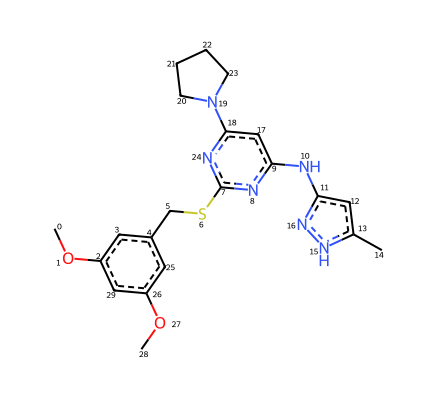 COc1cc(CSc2nc(Nc3cc(C)[nH]n3)cc(N3CCCC3)n2)cc(OC)c1